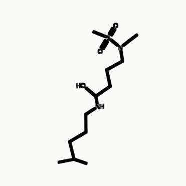 CC(C)CCCNC(O)CCCN(C)S(C)(=O)=O